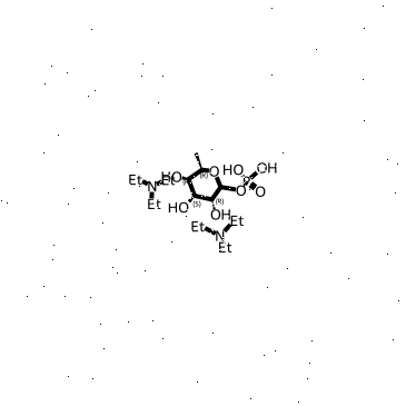 CCN(CC)CC.CCN(CC)CC.C[C@H]1OC(OP(=O)(O)O)[C@H](O)[C@@H](O)[C@H]1O